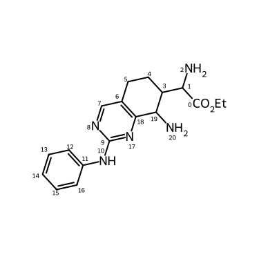 CCOC(=O)C(N)C1CCc2cnc(Nc3ccccc3)nc2C1N